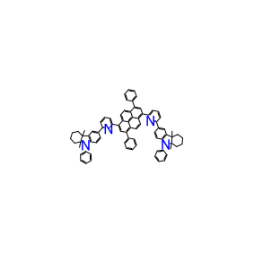 CC12CCCCC1(C)N(c1ccccc1)c1ccc(-c3cccc(-c4cc(-c5ccccc5)c5ccc6c(-c7cccc(-c8ccc9c(c8)C8(C)CCCCC8(C)N9c8ccccc8)n7)cc(-c7ccccc7)c7ccc4c5c76)n3)cc12